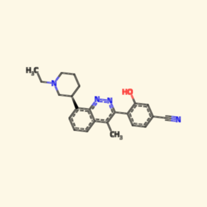 CCN1CCC[C@@H](c2cccc3c(C)c(-c4ccc(C#N)cc4O)nnc23)C1